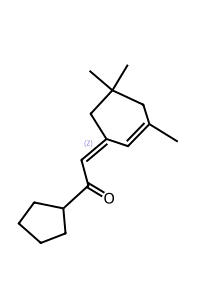 CC1=C/C(=C\C(=O)C2CCCC2)CC(C)(C)C1